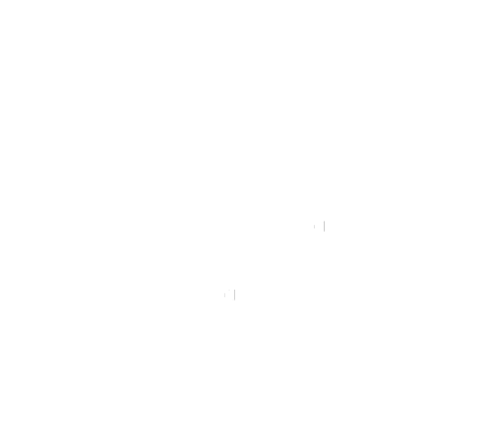 Clc1[c]c(Cl)ccc1.c1ccccc1